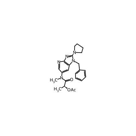 CC(=O)O[C@@H](C)C(=O)N(C)c1cnc2nc(N3CCCC3)n(Cc3ccccc3)c2c1